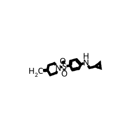 C=C1CCN(S(=O)(=O)c2ccc(NCC3CC3)cc2)CC1